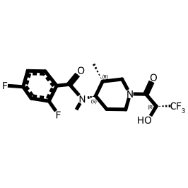 C[C@@H]1CN(C(=O)[C@@H](O)C(F)(F)F)CC[C@@H]1N(C)C(=O)c1ccc(F)cc1F